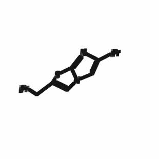 CC(C)Cc1cn2cc(C(C)C)nc2s1